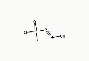 CP(=O)(Cl)/P=N/O